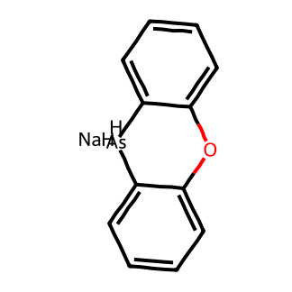 [NaH].c1ccc2c(c1)Oc1ccccc1[AsH]2